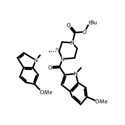 COc1ccc2cc(C(=O)N3CCN(C(=O)OC(C)(C)C)C[C@H]3C)n(C)c2c1.COc1ccc2ccn(C)c2c1